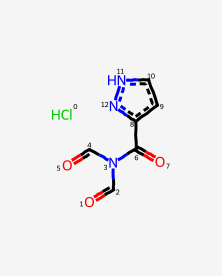 Cl.O=CN(C=O)C(=O)c1cc[nH]n1